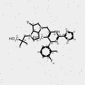 CCOC(=O)C1=C(CN2CC(F)C3C2CCN3CC(C)(C)C(=O)O)NC(c2nccs2)=N[C@H]1c1cccc(F)c1C